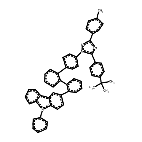 Cc1ccc(-c2nc(-c3ccc(C(C)(C)C)cc3)n(-c3ccc(-c4ccccc4-c4ccccc4-c4ccc5c(c4)c4ccccc4n5-c4ccccc4)cc3)n2)cc1